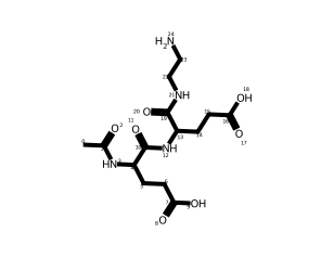 CC(=O)NC(CCC(=O)O)C(=O)NC(CCC(=O)O)C(=O)NCCN